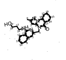 Cc1cc2n(Cc3cc4ccccc4c(NCCCO)n3)c(=O)c3ccccc3n2n1